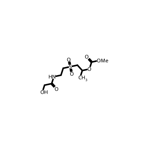 COC(=O)OC(C)CS(=O)(=O)CCNC(=O)CO